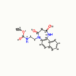 CC(C)(C)OC(=O)NCCN1C(=O)CC(=O)Nc2c1ccc1ccccc21